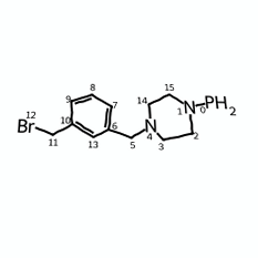 PN1CCN(Cc2cccc(CBr)c2)CC1